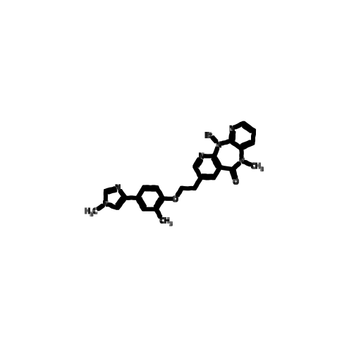 CCN1c2ncc(CCOc3ccc(-c4cn(C)cn4)cc3C)cc2C(=O)N(C)c2cccnc21